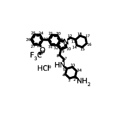 Cl.NC1CCC(NCCc2cn(CC3CCCCC3)c3ccc(-c4ccccc4OC(F)(F)F)cc23)CC1